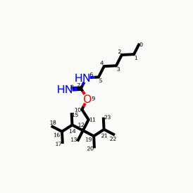 CCCCCCNC(=N)OCCC(C)(C(C)C(C)C)C(C)C(C)C